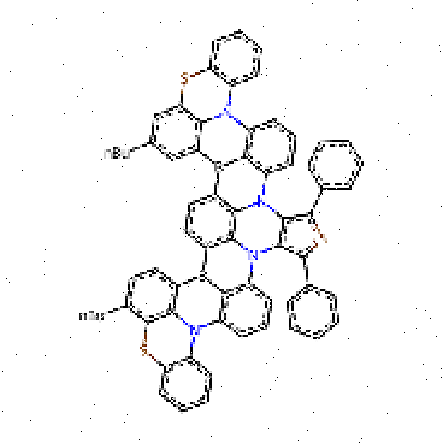 CCCCc1cc2c3c(c1)B1c4ccc5c6c4N(c4cccc(c41)N3c1ccccc1S2)c1c(-c2ccccc2)sc(-c2ccccc2)c1N6c1cccc2c1B5c1ccc(CCCC)c3c1N2c1ccccc1S3